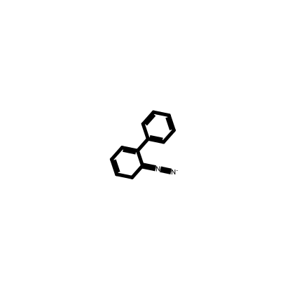 [N-]=[N+]=C1CC=CC=C1c1ccccc1